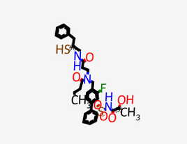 CCCC(=O)N(CCC(=O)NC[C@H](S)Cc1ccccc1)Cc1ccc(-c2ccccc2S(=O)(=O)NC(=O)[C@H](C)O)cc1F